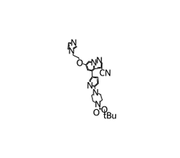 CC(C)(C)OC(=O)N1CCN(c2ccc(-c3cc(OCCn4ccnc4)cn4ncc(C#N)c34)cn2)CC1